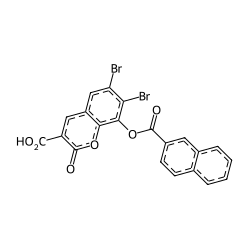 O=C(Oc1c(Br)c(Br)cc2cc(C(=O)O)c(=O)oc12)c1ccc2ccccc2c1